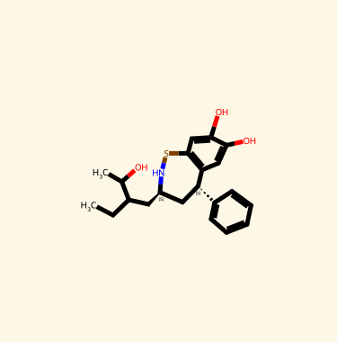 CCC(C[C@@H]1C[C@@H](c2ccccc2)c2cc(O)c(O)cc2SN1)C(C)O